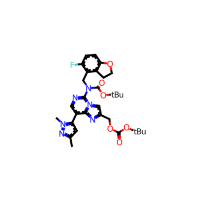 Cc1cc(-c2cnc(N(Cc3c(F)ccc4c3CCO4)C(=O)OC(C)(C)C)n3cc(COC(=O)OC(C)(C)C)nc23)n(C)n1